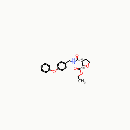 CCOC(=O)[C@H]1OCC[C@H]1C(=O)NCc1ccc(Oc2ccccc2)cc1